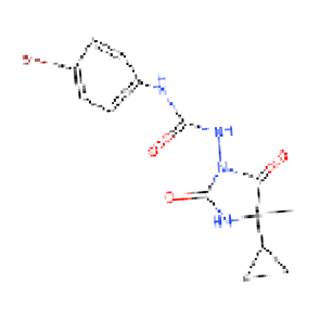 CC1(C2CC2)NC(=O)N(NC(=O)Nc2ccc(Br)cc2)C1=O